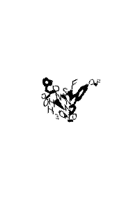 CN1CCOc2cc(-c3ccc(OCF)cc3-c3nc(N(C(=O)[C@@H](CC(=O)O)Cc4ccccc4)C4CC4)sc3F)cnc21